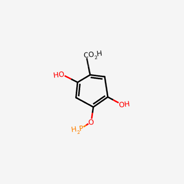 O=C(O)c1cc(O)c(OP)cc1O